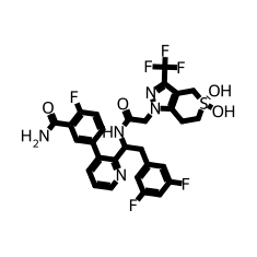 NC(=O)c1cc(-c2cccnc2C(Cc2cc(F)cc(F)c2)NC(=O)Cn2nc(C(F)(F)F)c3c2CCS(O)(O)C3)ccc1F